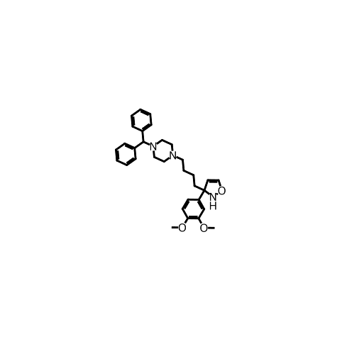 COc1ccc(C2(CCCCN3CCN(C(c4ccccc4)c4ccccc4)CC3)C=CON2)cc1OC